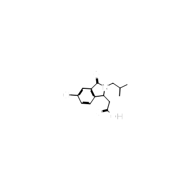 CC(C)CN1C(=O)c2cc(Cl)ccc2C1CC(=O)O